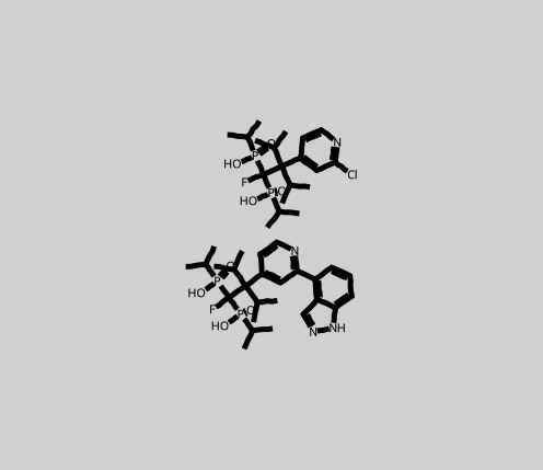 CC(C)C(c1ccnc(-c2cccc3[nH]ncc23)c1)(C(C)C)C(F)(P(=O)(O)C(C)C)P(=O)(O)C(C)C.CC(C)C(c1ccnc(Cl)c1)(C(C)C)C(F)(P(=O)(O)C(C)C)P(=O)(O)C(C)C